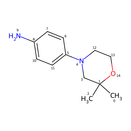 CC1(C)CN(c2ccc(N)cc2)CCO1